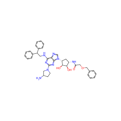 NC1CCN(c2nc(NCC(c3ccccc3)c3ccccc3)c3ncn([C@@H]4C[C@H](NC(=O)COCc5ccccc5)[C@@H](O)[C@H]4O)c3n2)C1